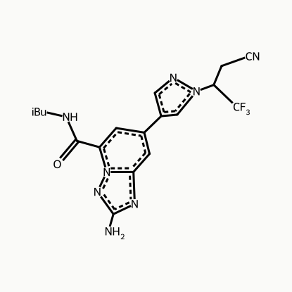 CCC(C)NC(=O)c1cc(-c2cnn(C(CC#N)C(F)(F)F)c2)cc2nc(N)nn12